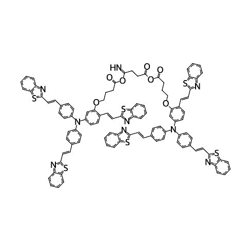 N=C(CCC(=O)OC(=O)CCCOc1cc(N(c2ccc(/C=C/c3nc4ccccc4s3)cc2)c2ccc(/C=C/c3nc4ccccc4s3)cc2)ccc1/C=C/c1nc2ccccc2s1)OC(=O)CCCOc1cc(N(c2ccc(/C=C/c3nc4ccccc4s3)cc2)c2ccc(/C=C/c3nc4ccccc4s3)cc2)ccc1/C=C/c1nc2ccccc2s1